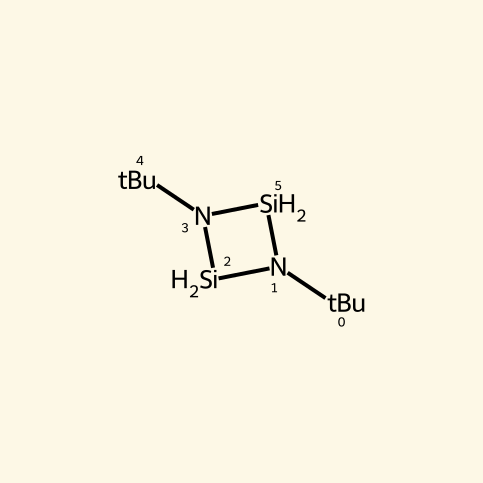 CC(C)(C)N1[SiH2]N(C(C)(C)C)[SiH2]1